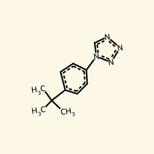 CC(C)(C)c1ccc(-n2cnnn2)cc1